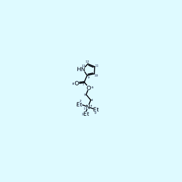 CC[N+](CC)(CC)CCOC(=O)c1ccc[nH]1